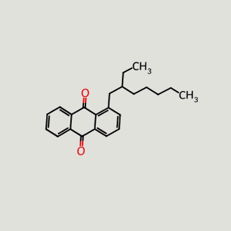 CCCCCC(CC)Cc1cccc2c1C(=O)c1ccccc1C2=O